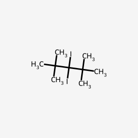 CC(C)(C)C(I)(I)C(C)(C)C